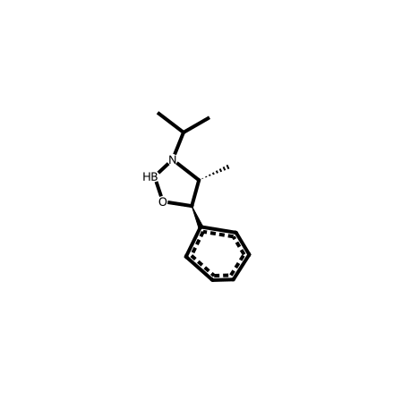 CC(C)N1BO[C@H](c2ccccc2)[C@H]1C